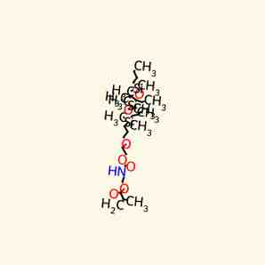 C=C(C)C(=O)OCCNC(=O)OCCOCCC[Si](C)(C)C(CC)O[Si](C)(C)C(CC)(CC)O[Si](C)(C)CCCC